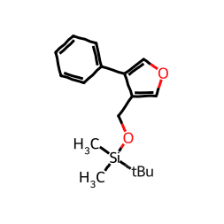 CC(C)(C)[Si](C)(C)OCc1cocc1-c1ccccc1